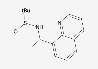 CC(N[S@+]([O-])C(C)(C)C)c1cccc2cccnc12